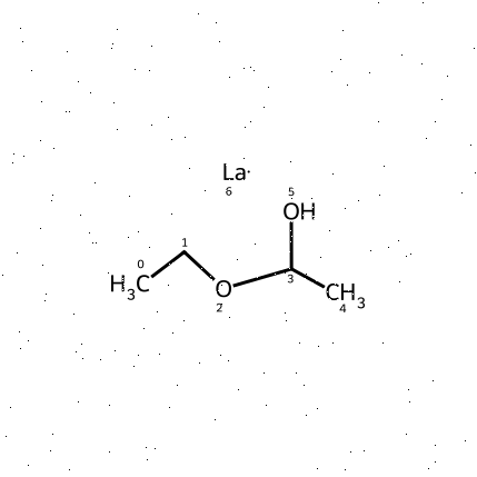 CCOC(C)O.[La]